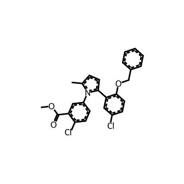 COC(=O)c1cc(-n2c(C)ccc2-c2cc(Cl)ccc2OCc2ccccc2)ccc1Cl